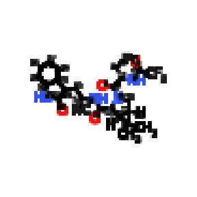 CC(C)C[C@H](NC(=O)C(F)(F)F)C(=O)N1C[C@H]2[C@H]([C@H]1C(=O)N[C@H](C#N)CC1C(=O)Nc3ccccc31)C2(C)C